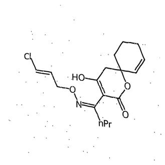 CCC/C(=N/OC/C=C/Cl)C1=C(O)CC2(C=CCCC2)OC1=O